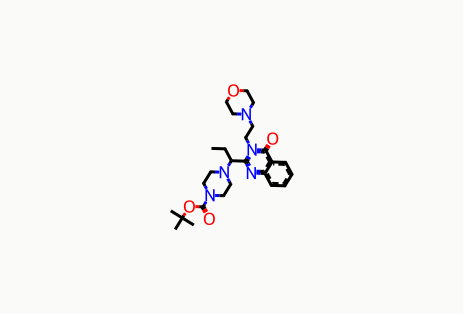 CCC(c1nc2ccccc2c(=O)n1CCN1CCOCC1)N1CCN(C(=O)OC(C)(C)C)CC1